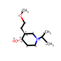 COCC[C@H]1CN(C(C)C)CC[C@@H]1O